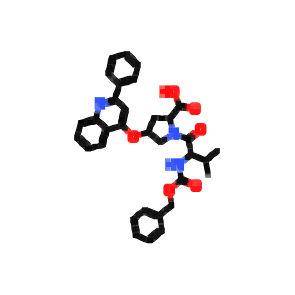 CC(C)C(NC(=O)OCc1ccccc1)C(=O)N1CC(Oc2cc(-c3ccccc3)nc3ccccc23)CC1C(=O)O